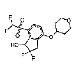 O=S(=O)(c1ccc(OC2CCOCC2)c2c1C(O)C(F)(F)C2)C(F)F